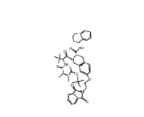 CC(C(=O)NC(C(=O)N1Cc2cc(OCCN3C(=O)c4ccccc4C3=O)ccc2C[C@H]1C(=O)N[C@@H]1CCCc2ccccc21)C(C)(C)C)N(C)C(=O)OC(C)(C)C